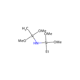 CC[Si](N[Si](C)(OC)OC)(OC)OC